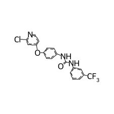 O=C(Nc1ccc(Oc2ccnc(Cl)c2)cc1)Nc1cccc(C(F)(F)F)c1